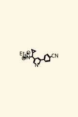 CCS(=O)(=O)NC(c1cncc(-c2ccc(C#N)cc2)c1)C1CC1